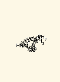 COCCCOCc1ccc(C2CCNC[C@@H]2OCc2ccc3c(c2)N(CCCOC)CCO3)cc1